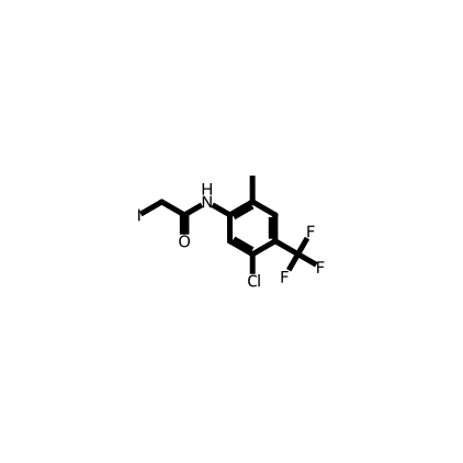 Cc1cc(C(F)(F)F)c(Cl)cc1NC(=O)CI